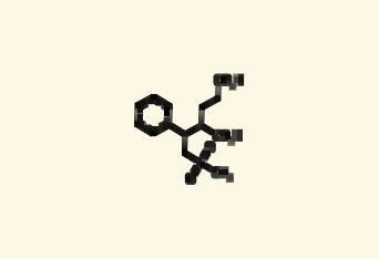 CS(=O)(=O)CC(c1ccccc1)C(CCC(=O)O)C(=O)O